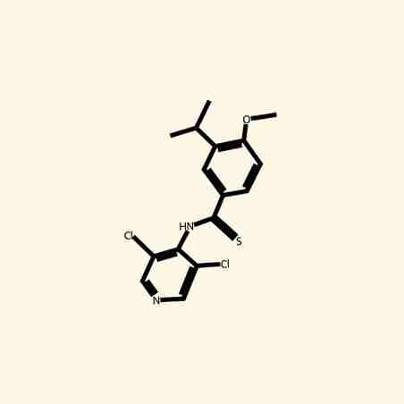 COc1ccc(C(=S)Nc2c(Cl)cncc2Cl)cc1C(C)C